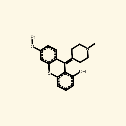 CCOc1ccc2c(c1)Sc1cccc(O)c1C2=C1CCN(C)CC1